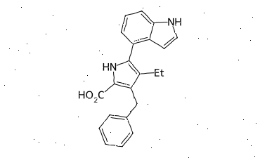 CCc1c(-c2cccc3[nH]ccc23)[nH]c(C(=O)O)c1Cc1ccccc1